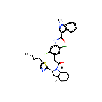 Cn1cc(C(=O)Nc2cc(F)c(CC(=O)N3[C@H](c4ncc(CCC(=O)O)s4)C[C@@H]4CCCC[C@@H]43)cc2Cl)c2ccccc21